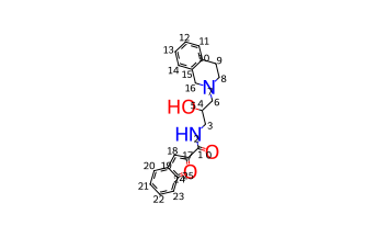 O=C(NCC(O)CN1CCc2ccccc2C1)c1cc2ccccc2o1